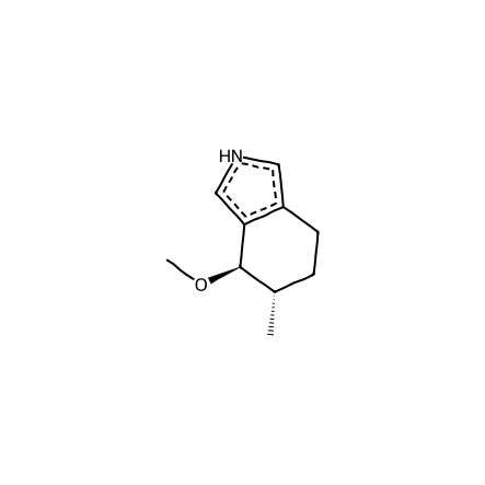 CO[C@H]1c2c[nH]cc2CC[C@@H]1C